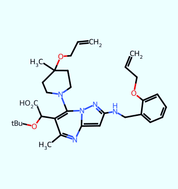 C=CCOc1ccccc1CNc1cc2nc(C)c(C(OC(C)(C)C)C(=O)O)c(N3CCC(C)(OCC=C)CC3)n2n1